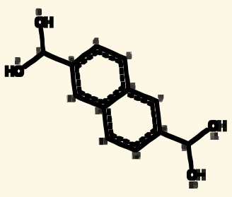 OC(O)c1ccc2cc(C(O)O)ccc2c1